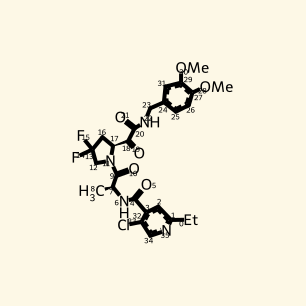 CCc1cc(C(=O)N[C@@H](C)C(=O)N2CC(F)(F)C[C@H]2C(=O)C(=O)NCc2ccc(OC)c(OC)c2)c(Cl)cn1